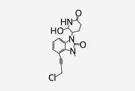 Cn1c(=O)n(C2CCC(=O)NC2O)c2cccc(C#CCCl)c21